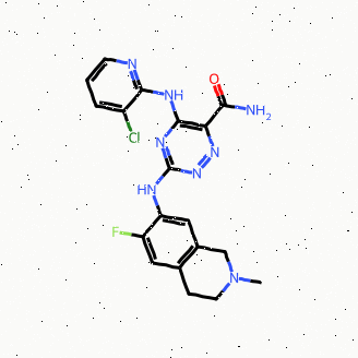 CN1CCc2cc(F)c(Nc3nnc(C(N)=O)c(Nc4ncccc4Cl)n3)cc2C1